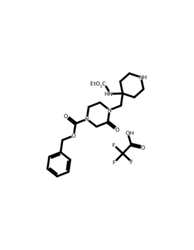 CCOC(=O)NC1(CN2CCN(C(=O)OCc3ccccc3)CC2=O)CCNCC1.O=C(O)C(F)(F)F